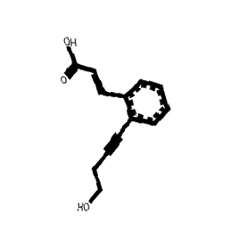 O=C(O)C=Cc1ccccc1C#CCCO